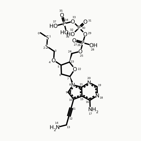 CSSCOC1C[C@H](n2cc(C#CCN)c3c(N)ncnc32)O[C@@H]1COP(=O)(O)OP(=O)(O)OP(=O)(O)O